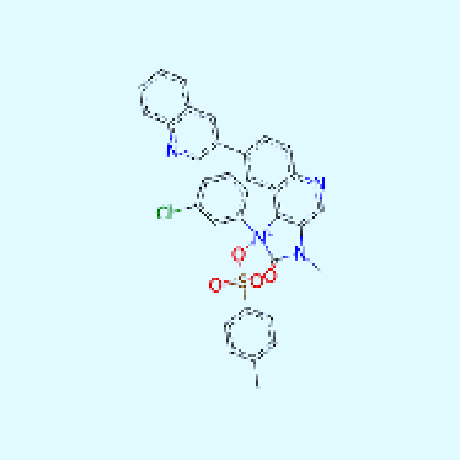 Cc1ccc(S(=O)(=O)O[N+]2(c3cccc(Cl)c3)C(=O)N(C)c3cnc4ccc(-c5cnc6ccccc6c5)cc4c32)cc1